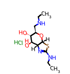 CCNC[C@H]1O[C@@H]2SC(NCC)=N[C@@H]2[C@@H](O)[C@@H]1O.Cl